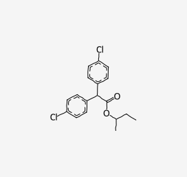 CCC(C)OC(=O)C(c1ccc(Cl)cc1)c1ccc(Cl)cc1